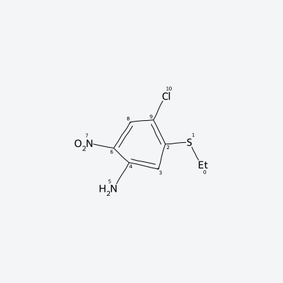 CCSc1cc(N)c([N+](=O)[O-])cc1Cl